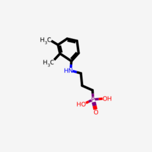 Cc1cccc(NCCCP(=O)(O)O)c1C